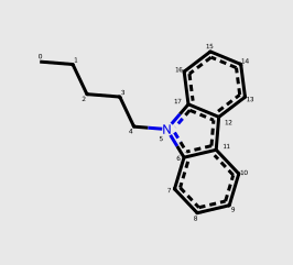 CCCCCn1c2c[c]ccc2c2ccccc21